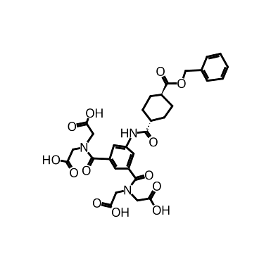 O=C(O)CN(CC(=O)O)C(=O)c1cc(NC(=O)[C@H]2CC[C@H](C(=O)OCc3ccccc3)CC2)cc(C(=O)N(CC(=O)O)CC(=O)O)c1